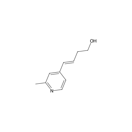 Cc1cc(C=CCCO)ccn1